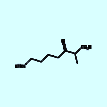 CCCCCCCCCCC(=O)C(C)C(=O)O